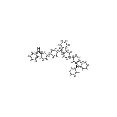 c1ccc(-n2c3ccccc3c3ccc(-c4ccc5c(c4)c4ccccc4n5-c4ccc(-c5ccc6c(c5)[nH]c5ccccc56)cc4)cc32)cc1